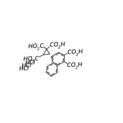 Cl.Cl.Cl.O=C(O)C1CC1(C(=O)O)C(=O)O.O=C(O)c1ccc2ccccc2c1C(=O)O